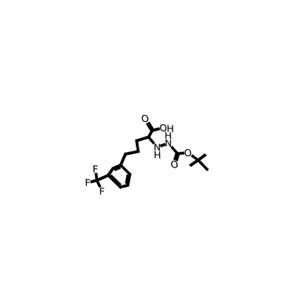 CC(C)(C)OC(=O)NNC(CCCc1cccc(C(F)(F)F)c1)C(=O)O